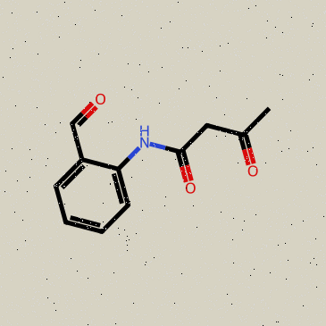 CC(=O)CC(=O)Nc1ccccc1C=O